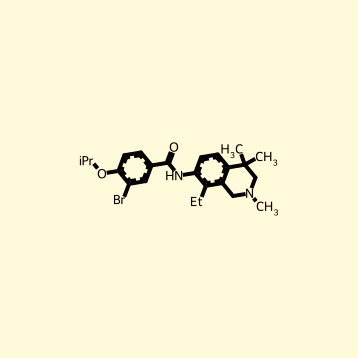 CCc1c(NC(=O)c2ccc(OC(C)C)c(Br)c2)ccc2c1CN(C)CC2(C)C